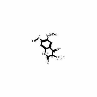 CCCCCCCCCCOc1cc2c(cc1OCC)NC(=O)C(C(=O)OCC)C2=O